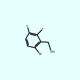 OCc1c(Br)ccc(F)c1F